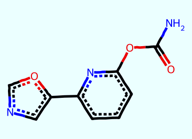 NC(=O)Oc1cccc(-c2cnco2)n1